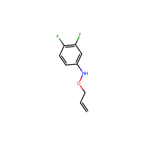 C=CCONc1ccc(F)c(F)c1